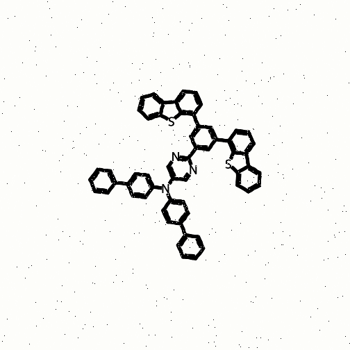 c1ccc(-c2ccc(N(c3ccc(-c4ccccc4)cc3)c3cnc(-c4cc(-c5cccc6c5sc5ccccc56)cc(-c5cccc6c5sc5ccccc56)c4)nc3)cc2)cc1